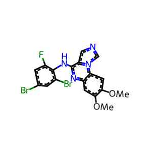 COc1cc2nc(Nc3c(F)cc(Br)cc3Br)c3cncn3c2cc1OC